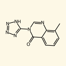 Cc1cccc2c(=O)n(-c3nnn[nH]3)cnc12